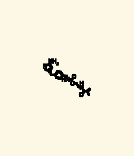 C=C(C)C(=O)NCCOC(=O)NCc1ccc(Cn2cnc(N)c2)cc1